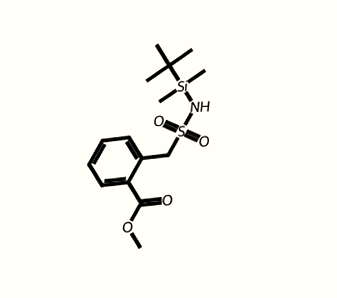 COC(=O)c1ccccc1CS(=O)(=O)N[Si](C)(C)C(C)(C)C